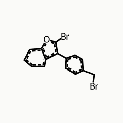 BrCc1ccc(-c2c(Br)oc3ccccc23)cc1